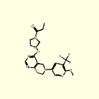 CCC(=O)N1CC[C@H](Oc2ncnc3c2CN(c2cnc(OC)c(C(F)(F)F)c2)CC3)C1